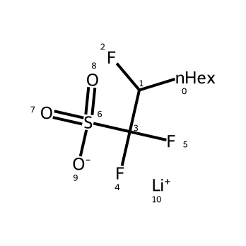 CCCCCCC(F)C(F)(F)S(=O)(=O)[O-].[Li+]